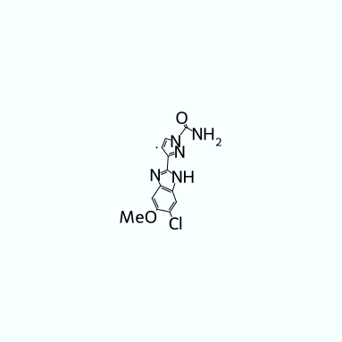 COc1cc2nc(-c3[c]cn(C(N)=O)n3)[nH]c2cc1Cl